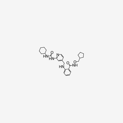 O=C(Nc1cc(CNc2ccccc2C(=O)NOCC2CCCC2)ccn1)NC1CCCCC1